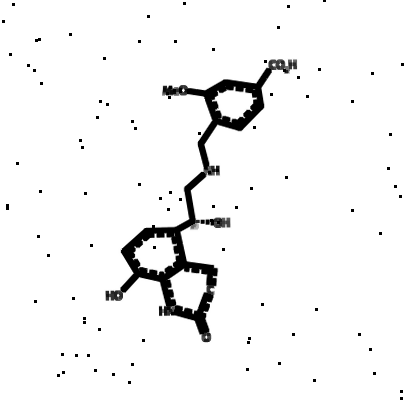 COc1cc(C(=O)O)ccc1CNC[C@H](O)c1ccc(O)c2[nH]c(=O)ccc12